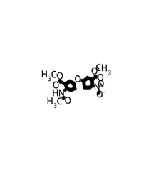 COC(=O)c1cc(Oc2ccc([N+](=O)[O-])c(C(=O)OC)c2)ccc1NC(C)=O